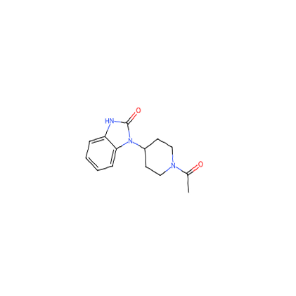 CC(=O)N1CCC(n2c(=O)[nH]c3ccccc32)CC1